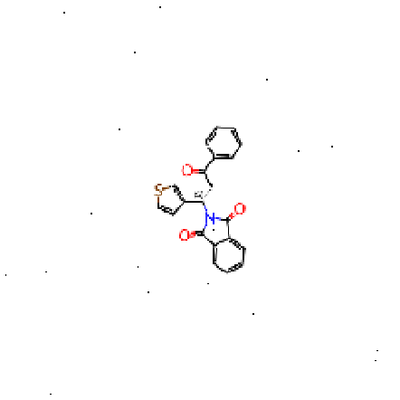 O=C(C[C@@H](c1ccsc1)N1C(=O)c2ccccc2C1=O)c1ccccc1